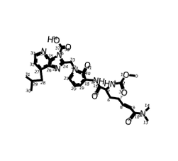 COC(=O)NC(CC/C=C/C(=O)N(C)C)C(=O)Nc1cccn(Cc2nc3c(CC(C)C)ccnc3n2C(=O)O)c1=O